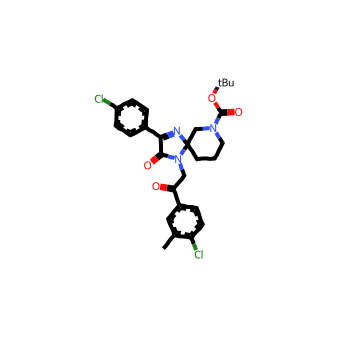 Cc1cc(C(=O)CN2C(=O)C(c3ccc(Cl)cc3)=NC23CCCN(C(=O)OC(C)(C)C)C3)ccc1Cl